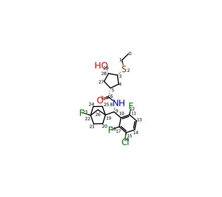 CCS[C@@H]1C[C@H](C(=O)N[C@H](c2c(F)ccc(Cl)c2F)C23CCC(F)(CC2)C3)C[C@@H]1O